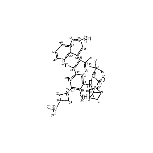 Cc1cc2c(NC3C4CC3N(C(=O)OC(C)(C)C)C4)c(N)c(N3CC(N(C)C)C3)nc2c(F)c1-c1cc(O)cc2ccccc12